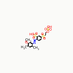 COc1cc(N=Nc2ccc(S(=O)(=O)CCOS(=O)(=O)O)cc2S(=O)(=O)O)c(C)cc1C